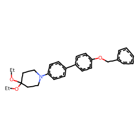 CCOC1(OCC)CCN(c2ccc(-c3ccc(OCc4ccccc4)cc3)cc2)CC1